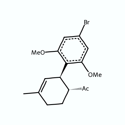 COc1cc(Br)cc(OC)c1[C@@H]1C=C(C)CC[C@H]1C([13CH3])=O